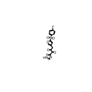 O=C(Cc1coc(S(=O)(=O)c2ccc(F)cc2)c1)C(=O)c1nn[nH]n1